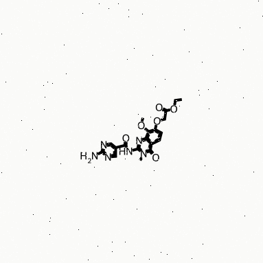 CCOC(=O)COc1ccc2c(=O)n(C)c(NC(=O)c3cnc(N)nc3)nc2c1OC